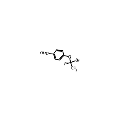 O=Cc1ccc(OC(F)(Br)C(F)(F)F)cc1